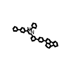 c1ccc(-c2ccc(-c3cc(-c4cccc(-c5ccc(-c6ccc7c8c(cccc68)-c6ccccc6-7)cc5)c4)nc(-c4ccccc4)n3)cc2)cc1